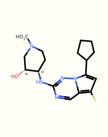 O=C(O)N1CC[C@@H](Nc2ncc3c(F)cc(C4CCCC4)n3n2)[C@H](O)C1